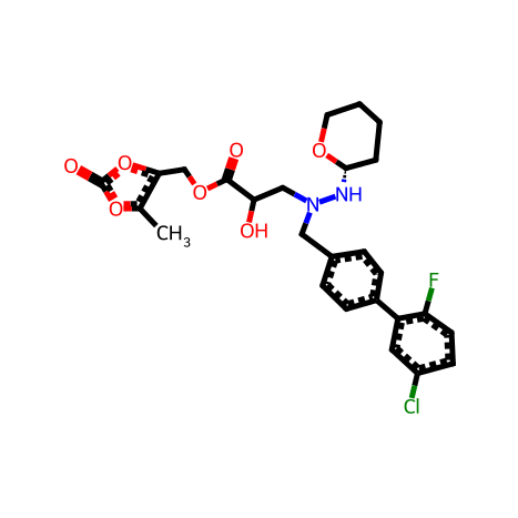 Cc1oc(=O)oc1COC(=O)C(O)CN(Cc1ccc(-c2cc(Cl)ccc2F)cc1)N[C@H]1CCCCO1